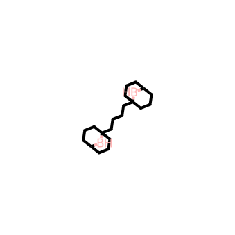 B1C2CCCC1(CCCCC13BC(CCC1)CCC3)CCC2